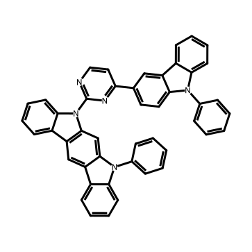 c1ccc(-n2c3ccccc3c3cc(-c4ccnc(-n5c6ccccc6c6cc7c8ccccc8n(-c8ccccc8)c7cc65)n4)ccc32)cc1